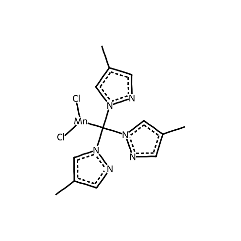 Cc1cnn([C](n2cc(C)cn2)(n2cc(C)cn2)[Mn]([Cl])[Cl])c1